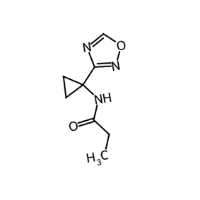 CCC(=O)NC1(c2ncon2)CC1